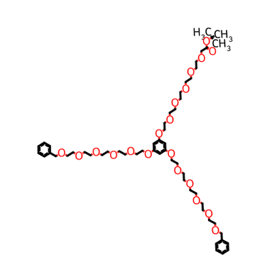 CC(C)(C)OC(=O)COCCOCCOCCOCCOCCOc1cc(OCCOCCOCCOCCOCCOCc2ccccc2)cc(OCCOCCOCCOCCOCCOCc2ccccc2)c1